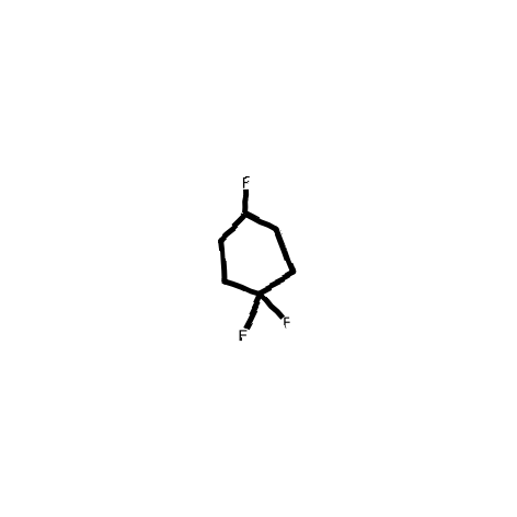 F[C]1CCC(F)(F)CC1